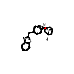 CC(=O)N[C@H]1CC2C[C@@H](C1)N2Cc1ccc(Cc2nc3ccccc3o2)cc1